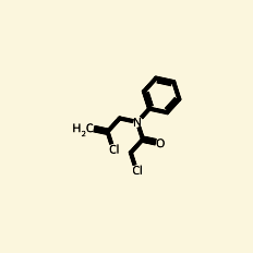 C=C(Cl)CN(C(=O)CCl)c1ccccc1